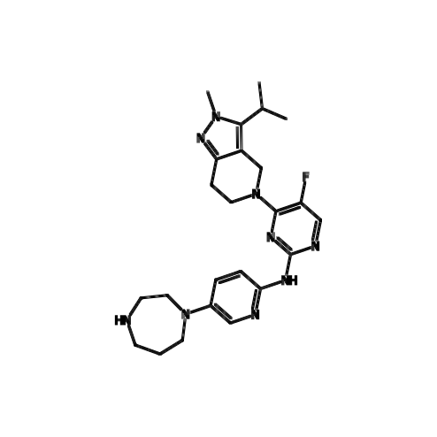 CC(C)c1c2c(nn1C)CCN(c1nc(Nc3ccc(N4CCCNCC4)cn3)ncc1F)C2